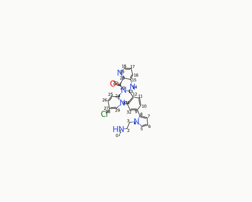 CNCCn1cccc1-c1ccc(-c2nc3cccnc3c(=O)n2-c2ccc(Cl)cn2)cc1